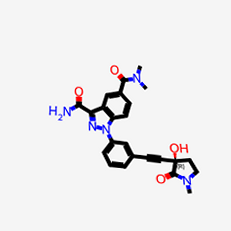 CN(C)C(=O)c1ccc2c(c1)c(C(N)=O)nn2-c1cccc(C#C[C@]2(O)CCN(C)C2=O)c1